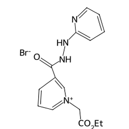 CCOC(=O)C[n+]1cccc(C(=O)NNc2ccccn2)c1.[Br-]